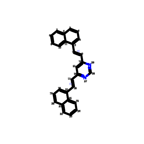 C(=C\c1cccc2ccccc12)/c1cc(/C=C/c2cccc3ccccc23)ncn1